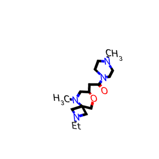 CCN1CC2(COC(CC(=O)N3CCN(C)CC3)CN2C)C1